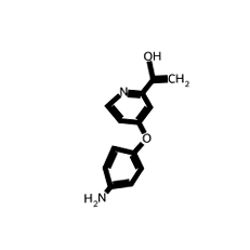 C=C(O)c1cc(Oc2ccc(N)cc2)ccn1